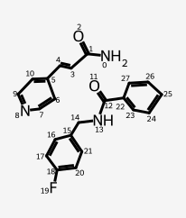 NC(=O)/C=C/c1ccncc1.O=C(NCc1ccc(F)cc1)c1ccccc1